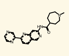 CN1CCCC(C(=O)Nc2cc3nc(-c4cnccn4)ccc3cn2)CC1